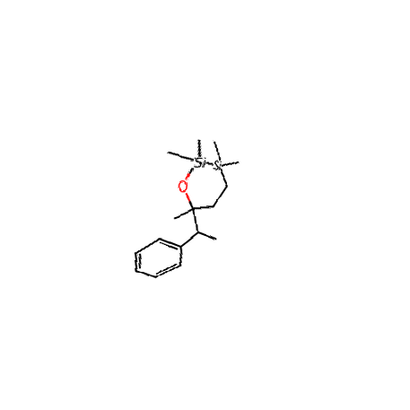 CC(c1ccccc1)C1(C)CC[Si](C)(C)[Si](C)(C)O1